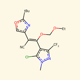 CCOCOC(=C(C#N)c1coc(C(C)(C)C)n1)c1c(C(F)(F)F)nn(C)c1Cl